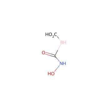 O=C(O)BC(=O)NO